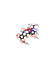 COc1c(C)cc2c(c1O)[C@@H]1C3[C@@H]4SCC(NC(=O)C(N)C(C)C)C(=O)OC[C@@H](c5c6c(c(C)c(OC(C)=O)c54)OCO6)N3[C@@H](O)[C@H](C2)N1C